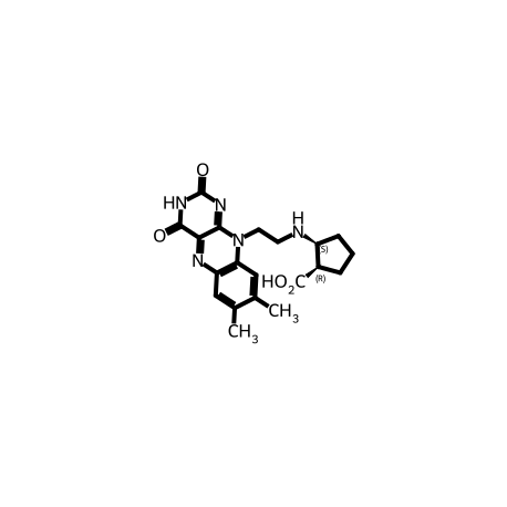 Cc1cc2nc3c(=O)[nH]c(=O)nc-3n(CCN[C@H]3CCC[C@H]3C(=O)O)c2cc1C